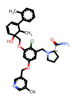 Cc1ccccc1C1=CC=CC(O)(COc2cc(OCc3cncc(C#N)c3)cc(CN3CCC[C@H]3C(N)=O)c2Cl)C1C